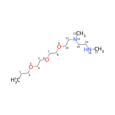 CCCOCCOCCOCCN(C)CCNC